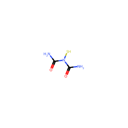 NC(=O)N(S)C(N)=O